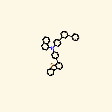 c1ccc(-c2cccc(-c3ccc(N(c4ccc(-c5cccc6c5sc5ccccc56)cc4)c4cccc5ccccc45)cc3)c2)cc1